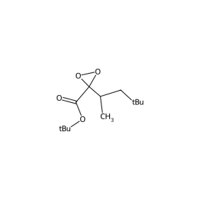 CC(CC(C)(C)C)C1(C(=O)OC(C)(C)C)OO1